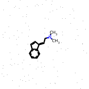 CN(C)C/C=C1\C=Cc2ccccc21